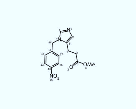 COC(=O)CCc1cncn1Cc1ccc([N+](=O)[O-])cc1